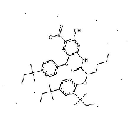 CCCCC(Oc1ccc(C(C)(C)CC)cc1C(C)(C)CC)C(=O)Nc1cc(O)c([N+](=O)[O-])cc1Oc1ccc(C(C)(C)CC)cc1